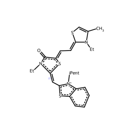 CCCC(C)[n+]1c(/C=c2\sc(=CC=C3SC=C(C)N3CC)c(=O)n2CC)sc2ccccc21